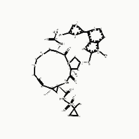 CC(C)c1csc(-c2cccc3c2nc(O[C@@H]2C[C@H]4C(=O)N[C@]5(C(=O)NS(=O)(=O)C6(C)CC6)C[C@H]5/C=C\CCCCC[C@H](NC(N)=S)C(=O)N4C2)n3C(C)C)n1